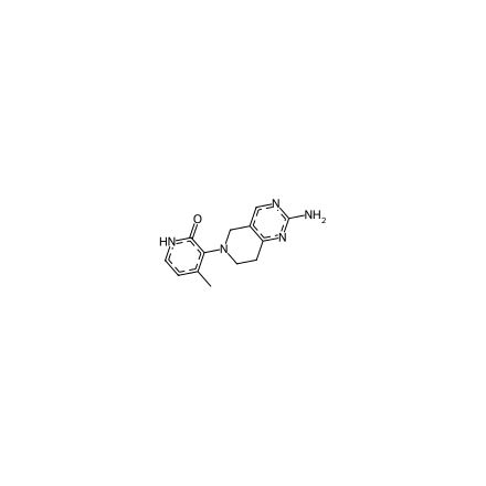 Cc1cc[nH]c(=O)c1N1CCc2nc(N)ncc2C1